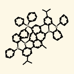 Cc1cc2c3c(cc4c([Si](c5ccccc5)(c5ccccc5)c5ccccc5)cc5c6c(cc1c3c46)B1c3ccccc3N(c3ccccc3)c3cc(C(C)C)cc-5c31)B1c3ccccc3N(c3ccccc3)c3cc(C(C)C)cc-2c31